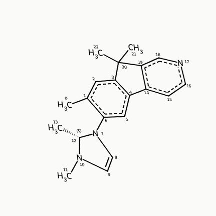 Cc1cc2c(cc1N1C=CN(C)[C@@H]1C)-c1ccncc1C2(C)C